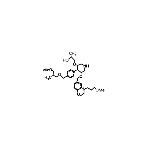 COCCCN1CCOc2ccc(CO[C@H]3CNC[C@@H](OC[C@@H](C)O)[C@@H]3c3ccc(COC[C@@H](C)COC)cc3)cc21